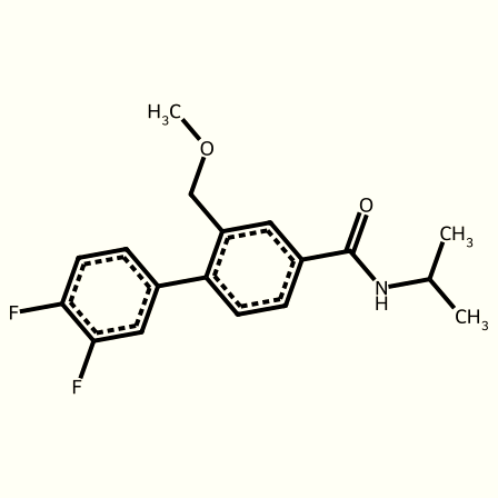 COCc1cc(C(=O)NC(C)C)ccc1-c1ccc(F)c(F)c1